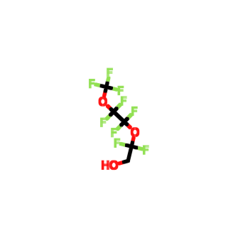 OCC(F)(F)OC(F)(F)C(F)(F)OC(F)(F)F